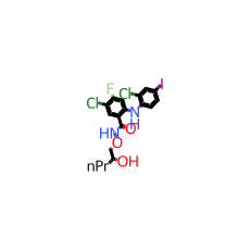 CCCC(O)CONC(=O)c1cc(Cl)c(F)cc1Nc1ccc(I)cc1Cl